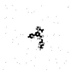 Cc1ccc(-c2cc(C(=O)NCc3cnc(C(F)(F)F)cn3)cc(-n3nnnc3C(C)C)c2)nc1